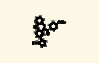 CO[C@H]1CC[C@H](C(=O)N2Cc3cccnc3Nc3ccc(-c4ccnn4C(C)C)cc32)CC1